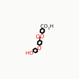 O=C(O)c1ccc(OC(=O)c2ccc(Oc3ccc(O)cc3)cc2)cc1